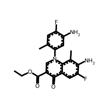 CCOC(=O)c1cn(-c2cc(N)c(F)cc2C)c2c(C)c(N)c(F)cc2c1=O